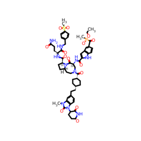 CCOP(C)(=O)C(=O)c1ccc2[nH]c(C(=O)N[C@H]3CN(C(=O)[C@H]4CC[C@@H](CCc5ccc6c(c5)n(C)c(=O)n6C5CCC(=O)NC5=O)CC4)CC[C@H]4CC[C@@H](C(=O)N[C@@H](CCC(N)=O)C(=O)NCc5ccc(S(C)(=O)=O)cc5)N4C3=O)cc2c1